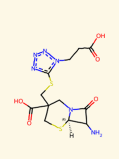 NC1C(=O)N2CC(CSc3nnnn3CCC(=O)O)(C(=O)O)CS[C@H]12